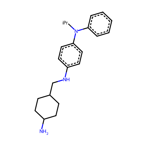 CC(C)N(c1ccccc1)c1ccc(NCC2CCC(N)CC2)cc1